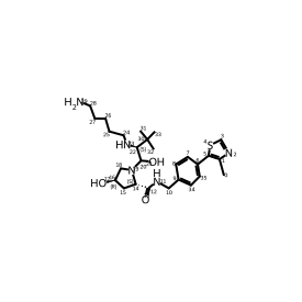 Cc1ncsc1-c1ccc(CNC(=O)[C@@H]2C[C@@H](O)CN2C(O)[C@@H](NCCCCCN)C(C)(C)C)cc1